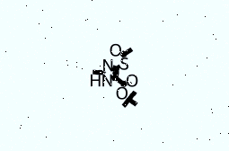 CC(=O)Sc1nc(C)[nH]c1C(=O)OC(C)(C)C